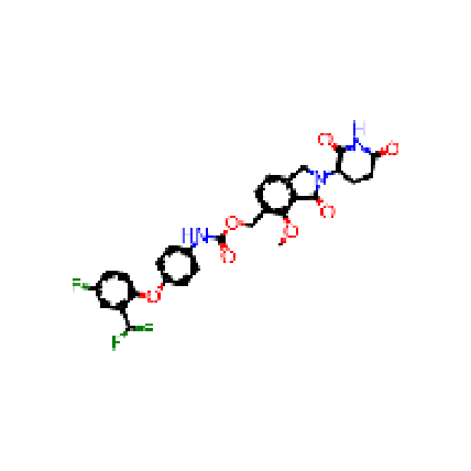 COc1c(COC(=O)Nc2ccc(Oc3ccc(F)cc3C(F)F)cc2)ccc2c1C(=O)N(C1CCC(=O)NC1=O)C2